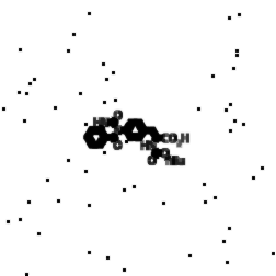 CCCCOC(=O)NC(Cc1ccc(-n2c(=O)[nH]c3ccccc3c2=O)cc1)C(=O)O